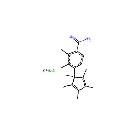 CC1=C(C)C(C)(c2ccc(C(=N)N)c(C)c2C)C(C)=C1C.[Br-].[Br-].[Zr+2]